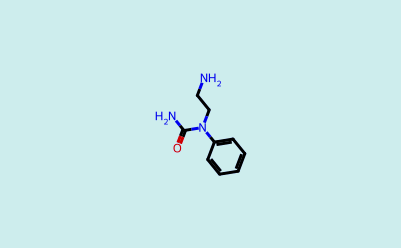 NCCN(C(N)=O)c1ccccc1